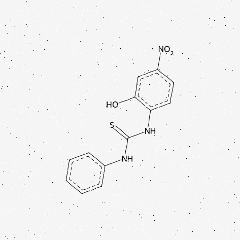 O=[N+]([O-])c1ccc(NC(=S)Nc2ccccc2)c(O)c1